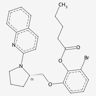 CCCCC(=O)Oc1c(Br)cccc1OC[C@@H]1CCCN1c1ccc2ccccc2n1